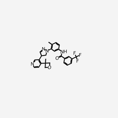 Cc1ccc(NC(=O)c2cccc(C(F)(F)F)c2)cc1N1CC(c2cnccc2C2(C)COC2)C=N1